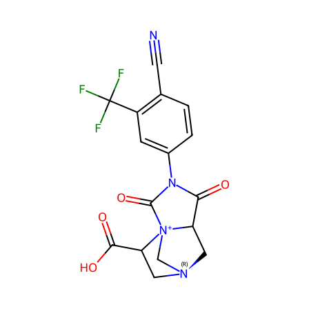 N#Cc1ccc(N2C(=O)C3C[N@@]4CC(C(=O)O)[N+]3(C4)C2=O)cc1C(F)(F)F